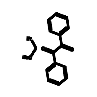 CC(C)COCC(C)C.O=C(C(=O)c1ccccc1)c1ccccc1